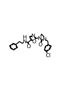 O=C(NCCc1ccccc1)c1cnc(N2CCN(Cc3ccc(Cl)cc3)C2=O)o1